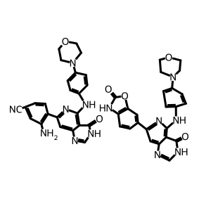 N#Cc1ccc(-c2cc3nc[nH]c(=O)c3c(Nc3ccc(N4CCOCC4)cc3)n2)c(N)c1.O=c1[nH]c2ccc(-c3cc4nc[nH]c(=O)c4c(Nc4ccc(N5CCOCC5)cc4)n3)cc2o1